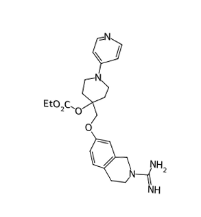 CCOC(=O)OC1(COc2ccc3c(c2)CN(C(=N)N)CC3)CCN(c2ccncc2)CC1